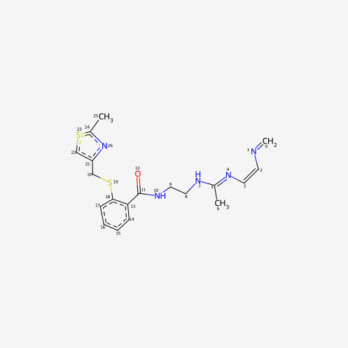 C=N/C=C\N=C(/C)NCCNC(=O)c1ccccc1SCc1csc(C)n1